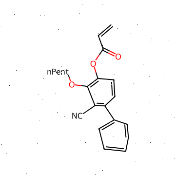 C=CC(=O)Oc1ccc(-c2ccccc2)c(C#N)c1OCCCCC